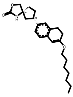 CCCCCCCOC1=Cc2ccc([C@H]3CC[C@]4(COC(=O)N4)C3)cc2CC1